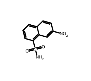 NS(=O)(=O)c1cccc2ccc([N+](=O)[O-])cc12